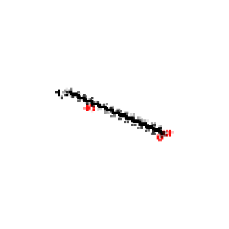 CCC=CCC=CCC(O)CCCCCCCCCCCCCCCCCCCC(=O)O